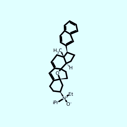 CC[N+]([O-])(C(C)C)[C@H]1CCC2=CC3=CC[C@]4(C)[C@@H](c5ccc6ccccc6c5)CC[C@H]4C34CC[C@]2(C1)O4